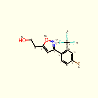 OCCc1cc(-c2ccc(Br)cc2C(F)(F)F)no1